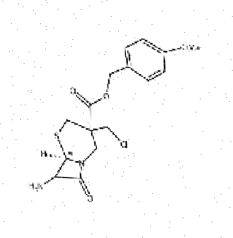 COc1ccc(COC(=O)C2(CCl)CS[C@@H]3C(N)C(=O)N3C2)cc1